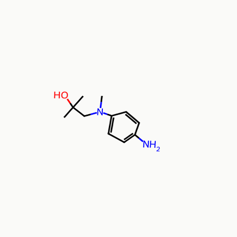 CN(CC(C)(C)O)c1ccc(N)cc1